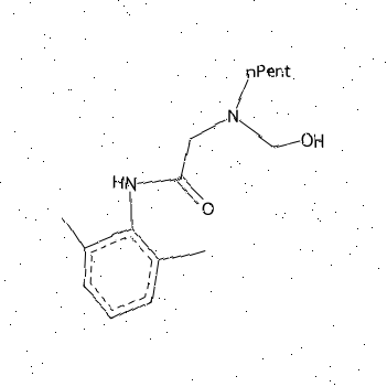 CCCCCN(CO)CC(=O)Nc1c(C)cccc1C